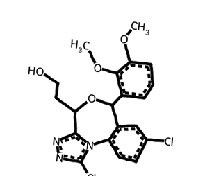 COc1cccc(C2OC(CCO)c3nnc(Cl)n3-c3ccc(Cl)cc32)c1OC